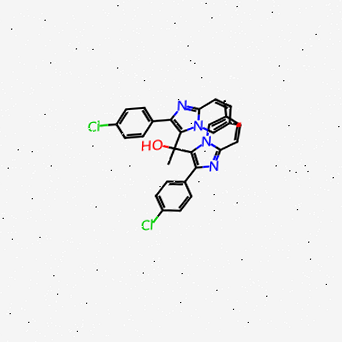 Cc1ccc2nc(-c3ccc(Cl)cc3)c(C(C)(O)c3c(-c4ccc(Cl)cc4)nc4ccc(C)cn34)n2c1